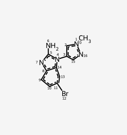 Cn1cc(-n2c(N)nc3ccc(Br)cc32)cn1